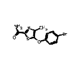 Cc1nc(C(N)=O)sc1Oc1ccc(Br)cc1